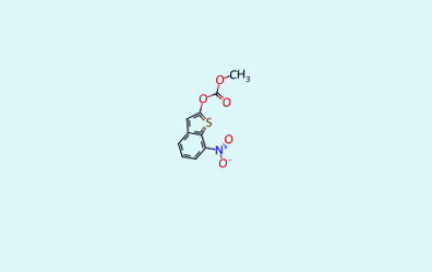 COC(=O)Oc1cc2cccc([N+](=O)[O-])c2s1